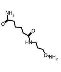 NOCCCNC(=O)CCCCC(N)=O